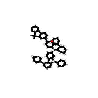 CC1(C)c2ccccc2-c2ccc(-c3ccc(N(c4ccc5c6c(-c7ccccc7)cccc6n(-c6ccccc6)c5c4)c4ccccc4-c4ccccc4)cc3)cc21